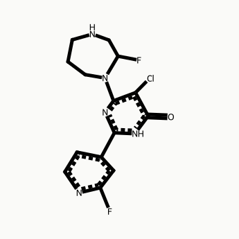 O=c1[nH]c(-c2ccnc(F)c2)nc(N2CCCNCC2F)c1Cl